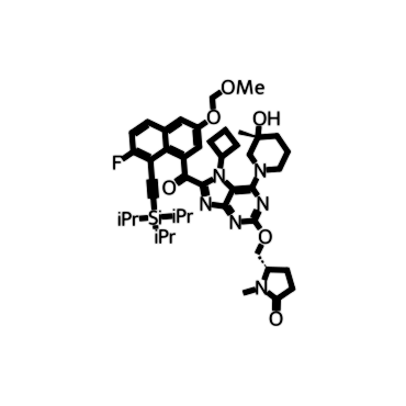 COCOc1cc(C(=O)c2nc3nc(OC[C@@H]4CCC(=O)N4C)nc(N4CCC[C@@](C)(O)C4)c3n2C2CCC2)c2c(C#C[Si](C(C)C)(C(C)C)C(C)C)c(F)ccc2c1